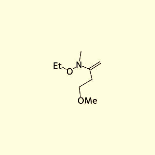 C=C(CCOC)N(C)OCC